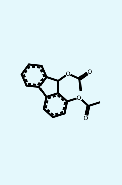 CC(=O)Oc1cccc2c1C(OC(C)=O)c1ccccc1-2